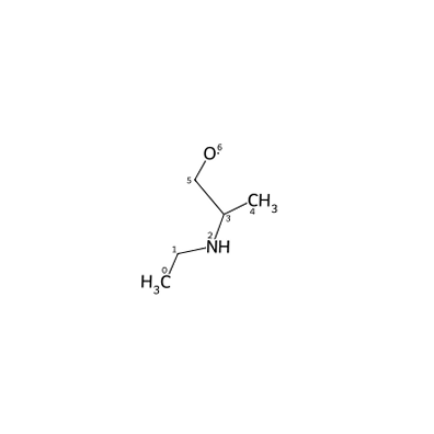 CCNC(C)C[O]